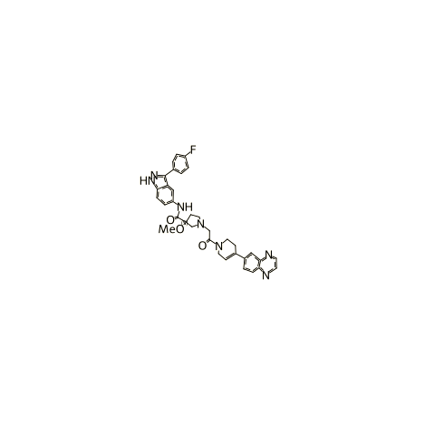 CO[C@@]1(C(=O)Nc2ccc3[nH]nc(-c4ccc(F)cc4)c3c2)CCN(CC(=O)N2CC=C(c3ccc4nccnc4c3)CC2)C1